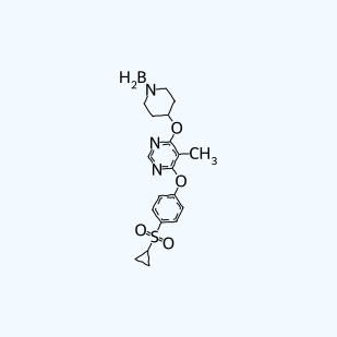 BN1CCC(Oc2ncnc(Oc3ccc(S(=O)(=O)C4CC4)cc3)c2C)CC1